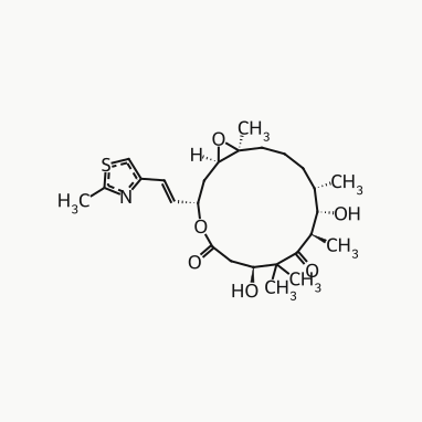 Cc1nc(C=C[C@@H]2C[C@H]3O[C@@]3(C)CCC[C@H](C)[C@H](O)[C@@H](C)C(=O)C(C)(C)[C@@H](O)CC(=O)O2)cs1